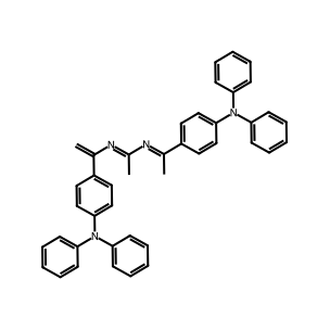 C=C(/N=C(C)/N=C(\C)c1ccc(N(c2ccccc2)c2ccccc2)cc1)c1ccc(N(c2ccccc2)c2ccccc2)cc1